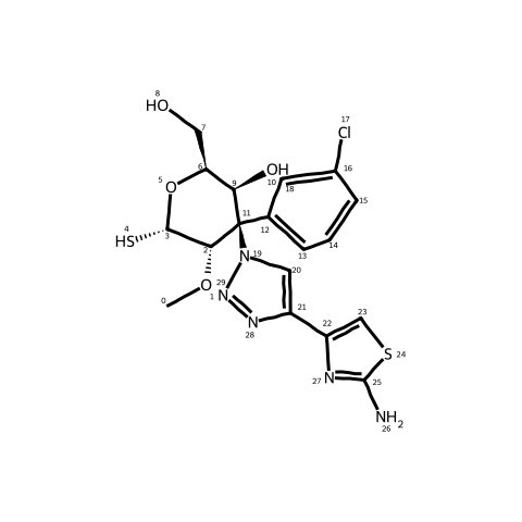 CO[C@@H]1[C@H](S)O[C@@H](CO)[C@@H](O)[C@@]1(c1cccc(Cl)c1)n1cc(-c2csc(N)n2)nn1